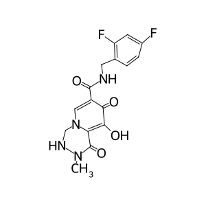 CN1NCn2cc(C(=O)NCc3ccc(F)cc3F)c(=O)c(O)c2C1=O